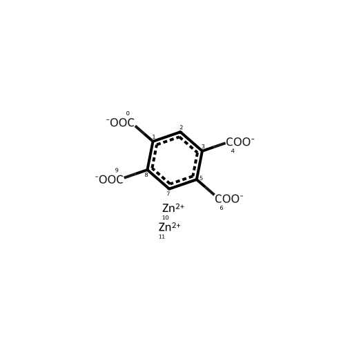 O=C([O-])c1cc(C(=O)[O-])c(C(=O)[O-])cc1C(=O)[O-].[Zn+2].[Zn+2]